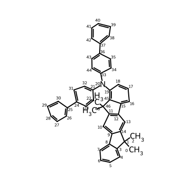 CC1(C)c2ccccc2-c2cc3c(cc21)-c1cccc(N(c2ccc(-c4ccccc4)cc2)c2ccc(-c4ccccc4)cc2)c1C3(C)C